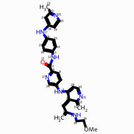 C=C(/C=c1/c(Nc2ccc(C(=O)Nc3ccc(Nc4ccnc(C)c4)cc3)nc2)ccnc1=C)NCCOC